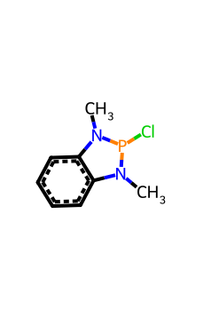 CN1c2ccccc2N(C)P1Cl